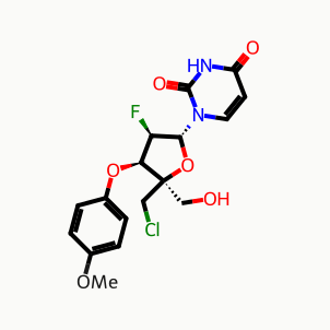 COc1ccc(O[C@H]2[C@@H](F)[C@H](n3ccc(=O)[nH]c3=O)O[C@@]2(CO)CCl)cc1